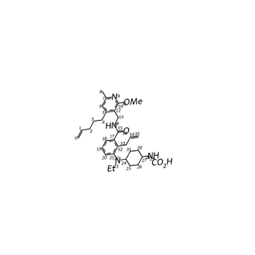 C=CCCCc1cc(C)nc(OC)c1CNC(=O)c1cccc(N(CC)C2CCC(NC(=O)O)CC2)c1CC=C